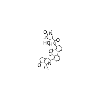 COc1nc(-c2cccc(-c3cccc(NC(=O)C4=CN(C)C(=O)N(C)C4O)c3Cl)c2Cl)cc2c1C(=O)CC2